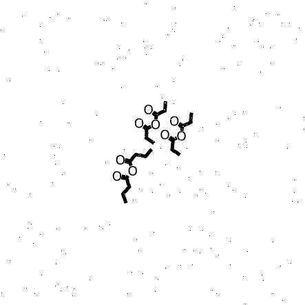 CCC(=O)OC(=O)CC.CCC(=O)OC(=O)CC.CCCC(=O)OC(=O)CCC